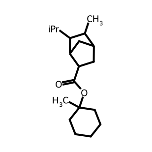 CC(C)C1C(C)C2CC(C(=O)OC3(C)CCCCC3)C1C2